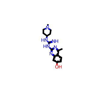 Cc1nc(NC(=N)NC2CCN(C)CC2)nc2cc(O)ccc12